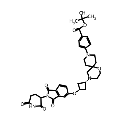 CC(C)(C)OC(=O)c1ccc(N2CCC3(CC2)CN([C@H]2C[C@H](Oc4ccc5c(c4)C(=O)N(C4CCC(=O)NC4=O)C5=O)C2)CCO3)cc1